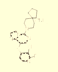 N[C@@H]1CCCC12CCN(c1ncc(Sc3ccnc(F)c3Cl)c3nccn13)CC2